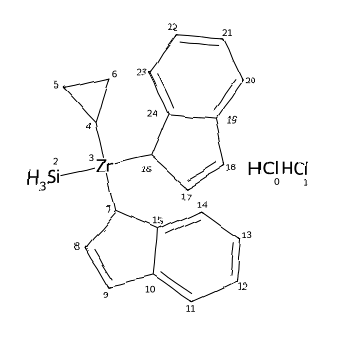 Cl.Cl.[SiH3][Zr]([CH]1CC1)([CH]1C=Cc2ccccc21)[CH]1C=Cc2ccccc21